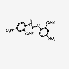 COc1cc([N+](=O)[O-])ccc1N=NNc1ccc([N+](=O)[O-])cc1OC